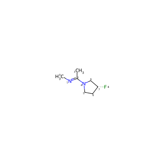 C/N=C(\C)N1CC[C@@H](F)C1